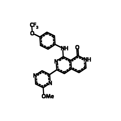 COc1cncc(-c2cc3cc[nH]c(=O)c3c(Nc3ccc(OC(F)(F)F)cc3)n2)n1